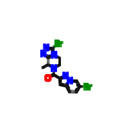 CC1c2nnc(Br)n2CCN1C(=O)c1cc2ccc(Br)cn2n1